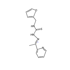 C/C(=N\NC(=S)NCc1ccco1)c1ccccn1